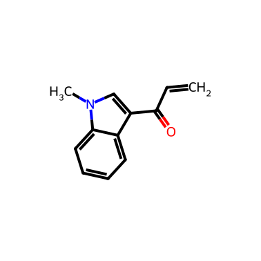 C=CC(=O)c1cn(C)c2ccccc12